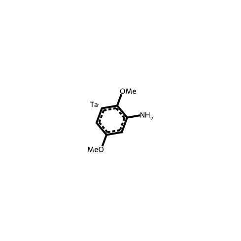 COc1ccc(OC)c(N)c1.[Ta]